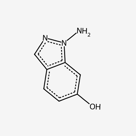 Nn1ncc2ccc(O)cc21